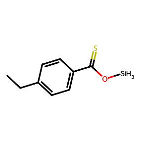 CCc1ccc(C(=S)O[SiH3])cc1